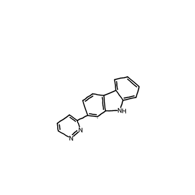 [c]1c(-c2cccnn2)ccc2c1[nH]c1ccccc12